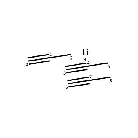 C#CC.C#CC.C#CC.[Li]